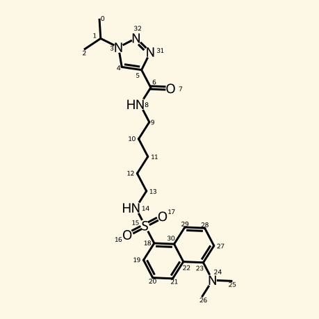 CC(C)n1cc(C(=O)NCCCCCNS(=O)(=O)c2cccc3c(N(C)C)cccc23)nn1